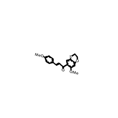 COc1ccc(C=CC(=O)c2cc3c(cc2OC)OCCS3)cc1